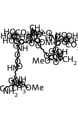 C=C1C[C@H]2C(O)N(C(=O)OCc3ccc(O[C@@H]4O[C@H](C(=O)O)[C@@H](O)[C@H](O)[C@H]4O)c(C(=O)NCCOC)c3)c3cc(OCCCCCOc4cc5c(cc4OC)C(=O)N4CC(=C)C[C@H]4C(O)N5C(=O)OCc4ccc(O[C@@H]5O[C@H](C(=O)O)[C@@H](O)[C@H](O)[C@H]5O)c(C(=O)NCCOCCOCC(=O)NCCCCC(NC(=O)COCCOC)C(=O)NC(C)CCCC(C)N)c4)c(OC)cc3C(=O)N2C1